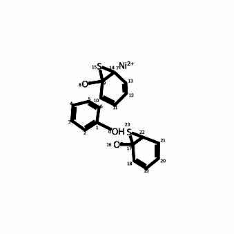 Oc1ccccc1.[Ni+2].[O-]C12C=CC=CC1S2.[O-]C12C=CC=CC1S2